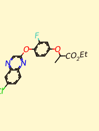 CCOC(=O)C(C)Oc1ccc(Oc2cnc3cc(Cl)ccc3n2)c(F)c1